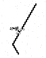 CCCCCCCC/C=C\CCCCCCCC(=O)O[C@H](COC(=O)CCCCCCCCCCCCCCCCCCCCC)COP(=O)([O-])OCC[N+](C)(C)C